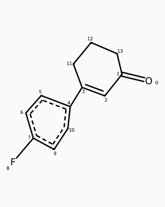 O=C1C=C(c2ccc(F)cc2)CCC1